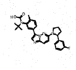 Cc1ccc(-c2cnc3ccc(N4CCCC4c4cccc(F)c4)nn23)cc1N(C(=O)O)C(C)(C)C